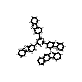 c1ccc2cc3c(cc2c1)c1ccccc1n3-c1cc(-c2nc(-c3ccc4c(c3)oc3ccccc34)nc(-c3ccc4c(c3)oc3ccccc34)n2)cc2oc3ccccc3c12